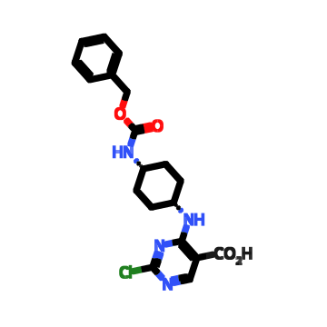 O=C(N[C@H]1CC[C@@H](Nc2nc(Cl)ncc2C(=O)O)CC1)OCc1ccccc1